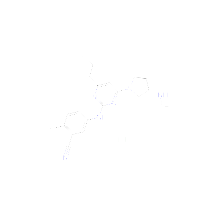 CCCc1cc(N2CC[C@H](NC)C2)nc(Nc2ccc(C)c(C#N)c2)n1.Cl